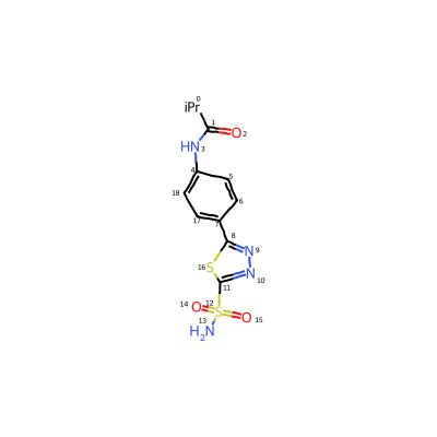 CC(C)C(=O)Nc1ccc(-c2nnc(S(N)(=O)=O)s2)cc1